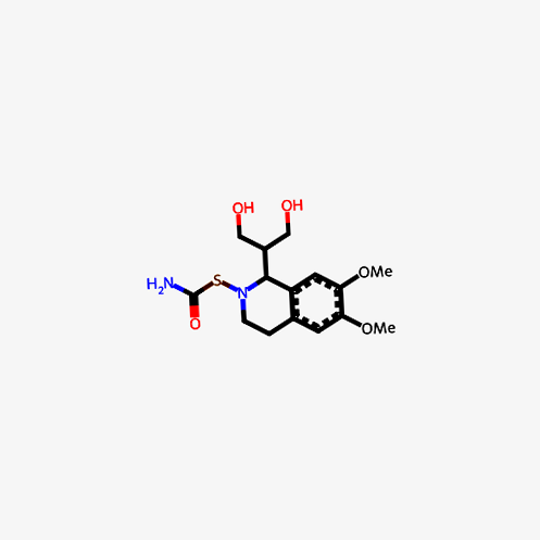 COc1cc2c(cc1OC)C(C(CO)CO)N(SC(N)=O)CC2